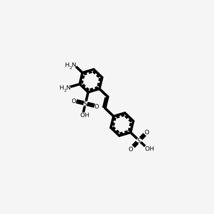 Nc1ccc(C=Cc2ccc(S(=O)(=O)O)cc2)c(S(=O)(=O)O)c1N